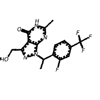 Cc1nc2c(c(CO)nn2C(C)c2ccc(C(F)(F)F)cc2F)c(=O)[nH]1